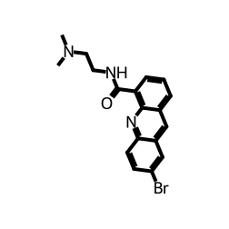 CN(C)CCNC(=O)c1cccc2cc3cc(Br)ccc3nc12